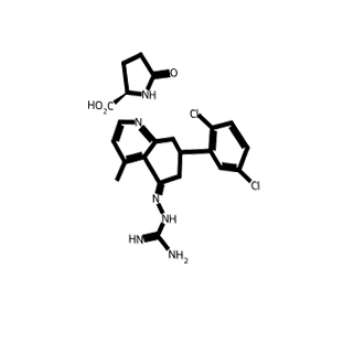 Cc1ccnc2c1C(=NNC(=N)N)CC(c1cc(Cl)ccc1Cl)C2.O=C1CC[C@H](C(=O)O)N1